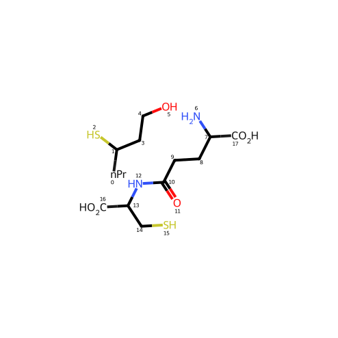 CCCC(S)CCO.NC(CCC(=O)NC(CS)C(=O)O)C(=O)O